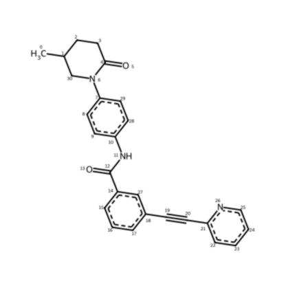 CC1CCC(=O)N(c2ccc(NC(=O)c3cccc(C#Cc4ccccn4)c3)cc2)C1